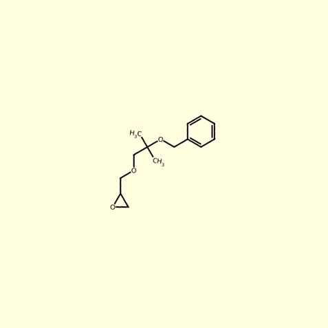 CC(C)(COCC1CO1)OCc1ccccc1